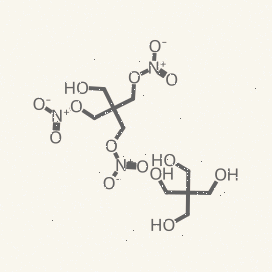 O=[N+]([O-])OCC(CO)(CO[N+](=O)[O-])CO[N+](=O)[O-].OCC(CO)(CO)CO